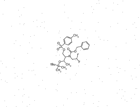 Cc1ccc(S(=O)(=O)OCC(C(C)O[Si](C)(C)C(C)(C)C)N(CC(F)F)C(=O)OCc2ccccc2)cc1